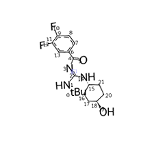 CC(C)(C)N/C(=N/C(=O)c1ccc(F)c(F)c1)N[C@H]1CC[C@H](O)CC1